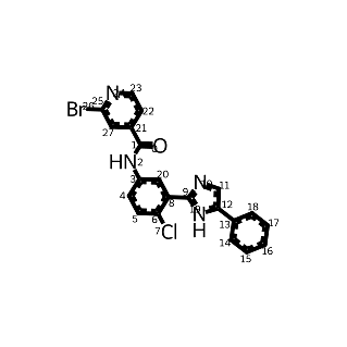 O=C(Nc1ccc(Cl)c(-c2ncc(-c3ccccc3)[nH]2)c1)c1ccnc(Br)c1